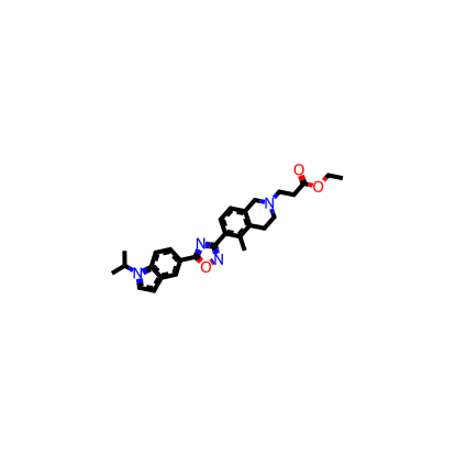 CCOC(=O)CCN1CCc2c(ccc(-c3noc(-c4ccc5c(ccn5C(C)C)c4)n3)c2C)C1